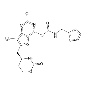 Cc1c(C[C@@H]2CCOC(=O)N2)sc2c(OC(=O)NCc3ccco3)nc(Cl)nc12